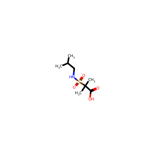 CC(C)CNS(=O)(=O)C(C)(C)C(=O)O